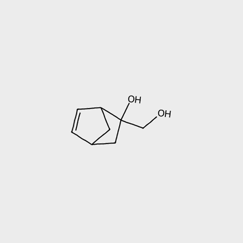 OCC1(O)CC2C=CC1C2